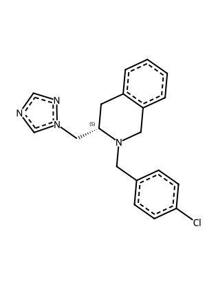 Clc1ccc(CN2Cc3ccccc3C[C@H]2Cn2cncn2)cc1